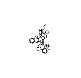 CCCC[C@H](NC(=O)c1nc2ccccc2cc1NC(=O)Nc1c(Cl)cccc1Cl)C(=O)OC